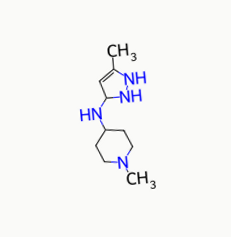 CC1=CC(NC2CCN(C)CC2)NN1